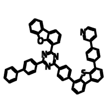 c1ccc(-c2ccc(-c3nc(-c4ccc(-c5cccc6c5sc5c(-c7ccc(-c8cccnc8)cc7)cccc56)cc4)nc(-c4cccc5c4oc4ccccc45)n3)cc2)cc1